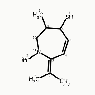 CC(C)=C1C=CC(S)C(C)CN1C(C)C